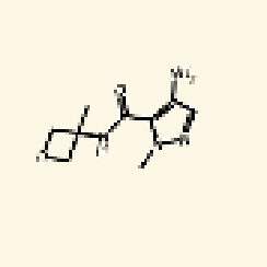 Cn1ncc(N)c1C(=O)NC1(C)COC1